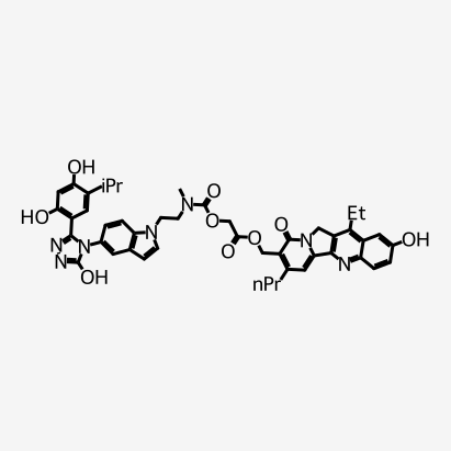 CCCc1cc2n(c(=O)c1COC(=O)COC(=O)N(C)CCn1ccc3cc(-n4c(O)nnc4-c4cc(C(C)C)c(O)cc4O)ccc31)Cc1c-2nc2ccc(O)cc2c1CC